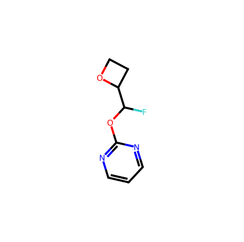 FC(Oc1ncccn1)C1CCO1